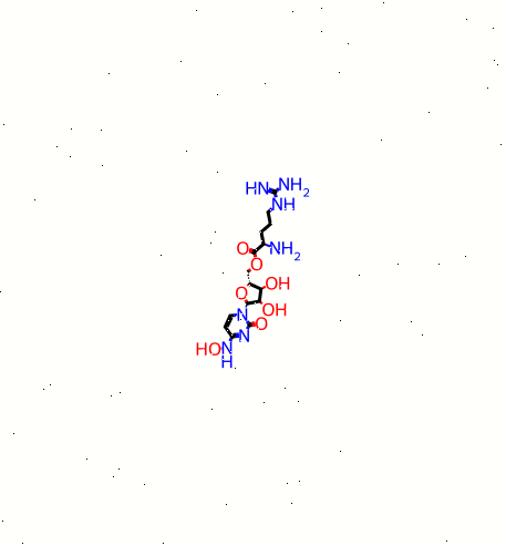 N=C(N)NCCC[C@@H](N)C(=O)OC[C@H]1O[C@@H](n2ccc(NO)nc2=O)[C@H](O)[C@@H]1O